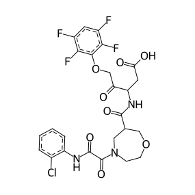 O=C(O)CC(NC(=O)C1COCCN(C(=O)C(=O)Nc2ccccc2Cl)C1)C(=O)COc1c(F)c(F)cc(F)c1F